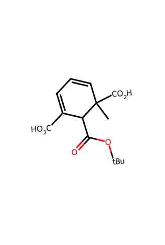 CC(C)(C)OC(=O)C1C(C(=O)O)=CC=CC1(C)C(=O)O